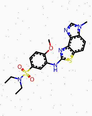 CCN(CC)S(=O)(=O)c1ccc(OC)c(Nc2nc3c(ccc4c3ncn4C)s2)c1